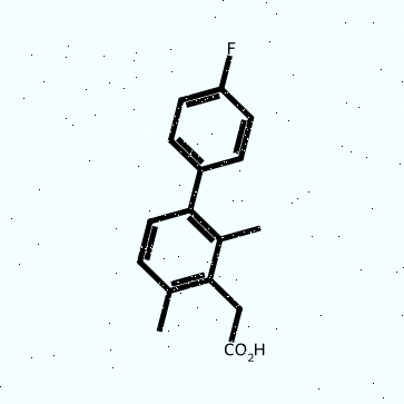 Cc1ccc(-c2ccc(F)cc2)c(C)c1CC(=O)O